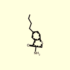 CCCCc1ccc2scc(N)c(=O)c2c1